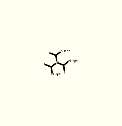 CCCCCCCC(I)N(C(I)CCCCCCC)C(I)CCCCCCC